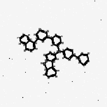 c1ccc(-c2ccc(N(c3cccc(-c4cccc(-c5cccc6ccccc56)c4)c3)c3ccc4oc5ccccc5c4c3)cc2)cc1